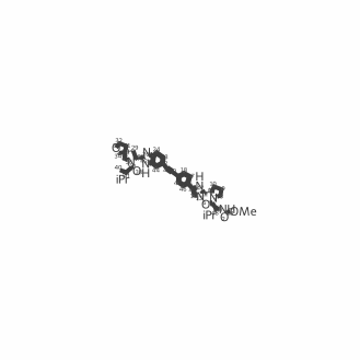 COC(=O)N[C@H](C(=O)N1CCC[C@H]1c1ncc(-c2ccc(C#Cc3ccc4nc([C@@H]5C[C@]6(CCOC6)CN5C(=O)[C@@H](C)C(C)C)[nH]c4c3)cc2)[nH]1)C(C)C